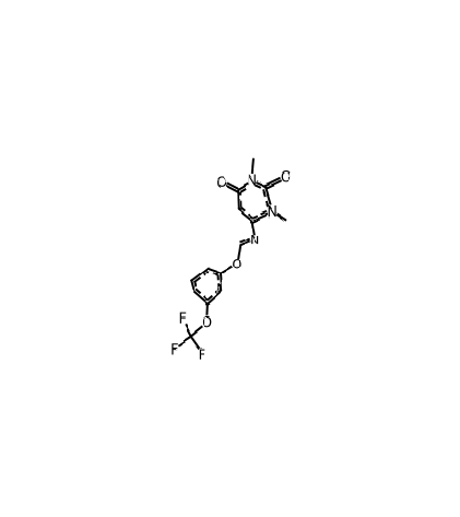 Cn1c(/N=C/Oc2cccc(OC(F)(F)F)c2)cc(=O)n(C)c1=O